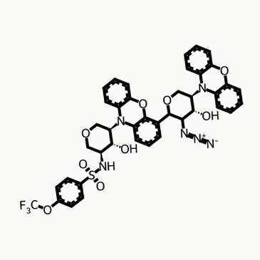 [N-]=[N+]=NC1C(c2cccc3c2Oc2ccccc2N3[C@@H]2COC[C@H](NS(=O)(=O)c3ccc(OC(F)(F)F)cc3)[C@H]2O)OC[C@@H](N2c3ccccc3Oc3ccccc32)[C@@H]1O